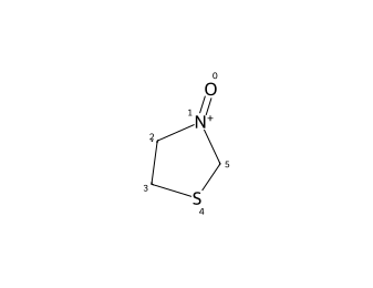 O=[N+]1[CH]CSC1